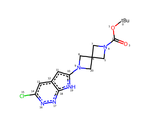 CC(C)(C)OC(=O)N1CC2(C1)CN(c1cc3cc(Cl)nnc3[nH]1)C2